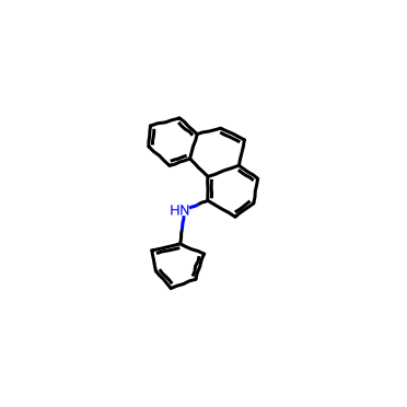 c1ccc(Nc2cccc3ccc4ccccc4c23)cc1